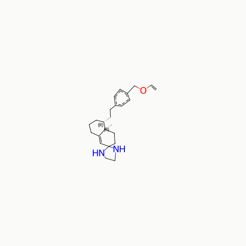 C=COCc1ccc(CC[C@H]2CCCC3=CC4(CC[C@@]32C)NCCN4)cc1